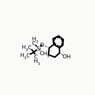 CC(C)(C)[Si](C)(C)O[C@H]1CC[C@@H](O)c2ccccc21